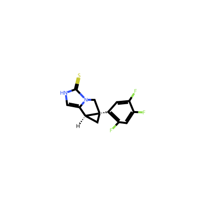 Fc1cc(F)c([C@]23C[C@H]2c2c[nH]c(=S)n2C3)cc1F